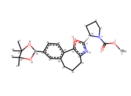 CC(C)(C)OC(=O)N1CCC[C@H]1c1nc2c(o1)-c1ccc(B3OC(C)(C)C(C)(C)O3)cc1CCC2